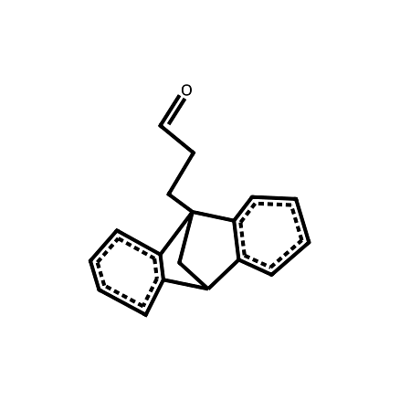 O=CCCC12CC(c3ccccc31)c1ccccc12